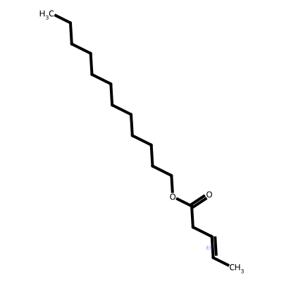 C/C=C/CC(=O)OCCCCCCCCCCCC